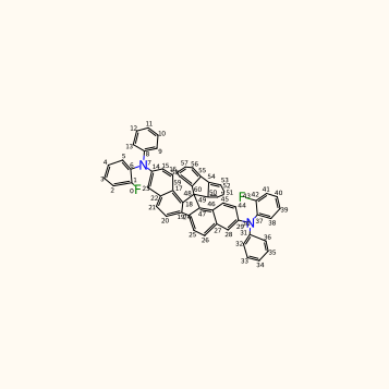 Fc1ccccc1N(c1ccccc1)c1ccc2c3c(ccc2c1)-c1ccc2cc(N(c4ccccc4)c4ccccc4F)ccc2c1C31c2ccccc2-c2ccccc21